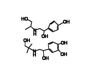 CC(C)(CO)NCC(O)c1ccc(O)c(O)c1.CC(CO)NCC(O)c1ccc(O)cc1